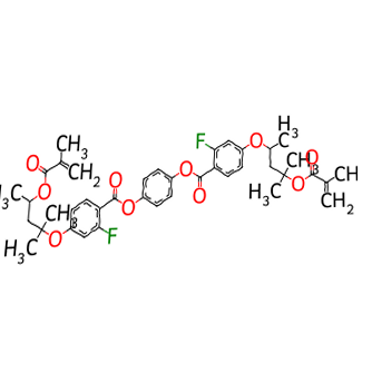 C=C(C)C(=O)OC(C)CC(C)(C)Oc1ccc(C(=O)Oc2ccc(OC(=O)c3ccc(OC(C)CC(C)(C)OC(=O)C(=C)C)cc3F)cc2)c(F)c1